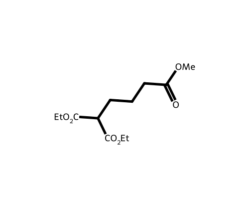 CCOC(=O)C(CCCC(=O)OC)C(=O)OCC